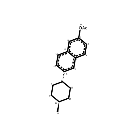 CC(=O)Oc1ccc2cc([C@H]3CC[C@H](C)CC3)ccc2c1